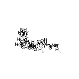 CCNC(=O)CCNC(=O)C(O)C(C)(C)COP(=O)(O)OP(=O)(O)OCC1OC(n2cnc3c(N)ncnc32)C(O)C1OP(=O)(O)O